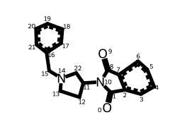 O=C1c2ccccc2C(=O)N1C1CCN(Cc2ccccc2)C1